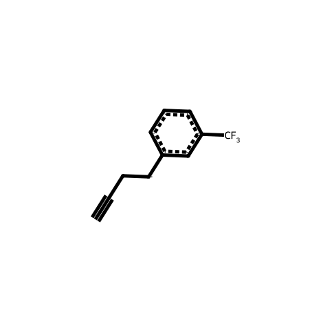 C#CC[CH]c1cccc(C(F)(F)F)c1